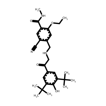 CCOc1cc(CNCC(=O)c2cc(C(C)(C)C)c(O)c(C(C)(C)C)c2)c(C#N)cc1C(=O)NC